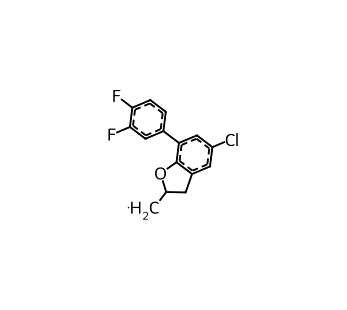 [CH2]C1Cc2cc(Cl)cc(-c3ccc(F)c(F)c3)c2O1